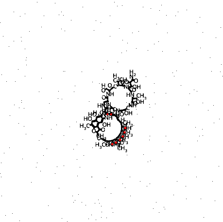 CO[C@H]1/C=C/O[C@@]2(C)Oc3c(C)c(O)c4c(O)c(c(NC(C)C(C)C(=O)NCC5NC(=O)CNC(=O)C(O)CNC(=O)C(C(C)O)NC(=O)C(C(O)C(O)C(N)=O)NC(=O)C(C(C)C)CC(=O)C(CO)NC5=O)c(O)c4c3C2=O)NC(=O)/C(C)=C\C=C\[C@H](C)[C@H](O)[C@@H](C)[C@@H](O)[C@@H](C)[C@H](OC(C)=O)[C@@H]1C